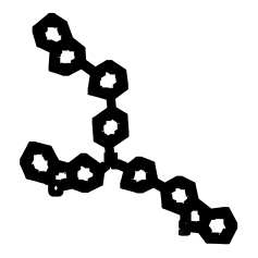 c1cc(-c2ccc(N(c3ccc(-c4ccc5c(c4)sc4ccccc45)cc3)c3ccc4oc5ccccc5c4c3)cc2)cc(-c2ccc3ccccc3c2)c1